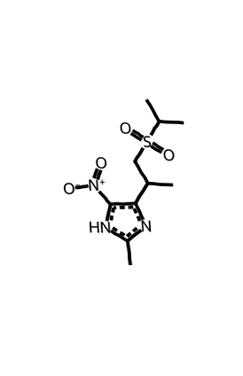 Cc1nc(C(C)CS(=O)(=O)C(C)C)c([N+](=O)[O-])[nH]1